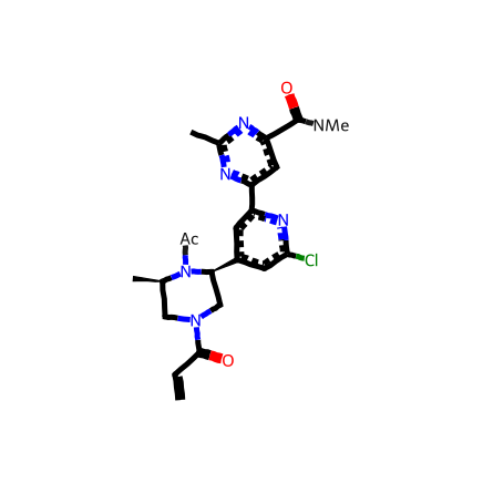 C=CC(=O)N1C[C@@H](C)N(C(C)=O)[C@@H](c2cc(Cl)nc(-c3cc(C(=O)NC)nc(C)n3)c2)C1